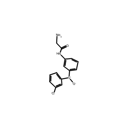 NCC(=O)Nc1cccc([S+]([O-])c2cccc(Cl)c2)c1